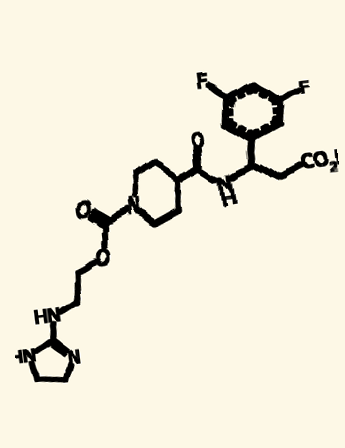 O=C(O)CC(NC(=O)C1CCN(C(=O)OCCNC2=NCCN2)CC1)c1cc(F)cc(F)c1